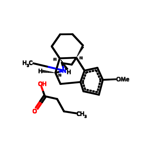 CCCC(=O)O.COc1ccc2c(c1)[C@]13CCCC[C@@H]1[C@H](C2)N(C)CC3